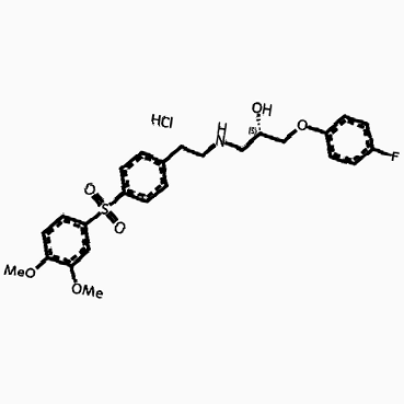 COc1ccc(S(=O)(=O)c2ccc(CCNC[C@H](O)COc3ccc(F)cc3)cc2)cc1OC.Cl